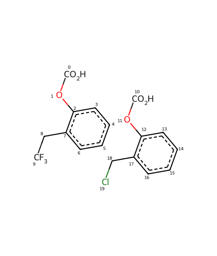 O=C(O)Oc1ccccc1CC(F)(F)F.O=C(O)Oc1ccccc1CCl